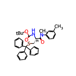 Cc1cccc(N(C)C(=O)[C@H](CSC(c2ccccc2)(c2ccccc2)c2ccccc2)NC(=O)OC(C)(C)C)c1